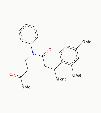 CCCCCC(CC(=O)N(CCC(=O)NC)c1ccccc1)c1ccc(OC)cc1OC